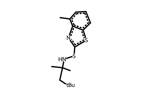 Cc1cccc2sc(SNC(C)(C)CC(C)(C)C)nc12